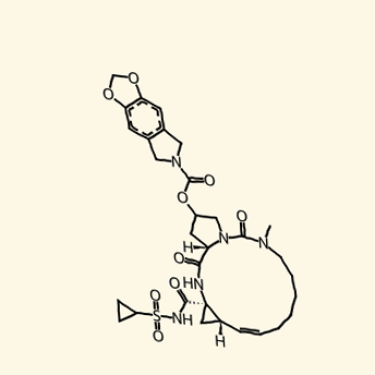 CN1CCCCC/C=C\[C@@H]2C[C@@]2(C(=O)NS(=O)(=O)C2CC2)NC(=O)[C@@H]2CC(OC(=O)N3Cc4cc5c(cc4C3)OCO5)CN2C1=O